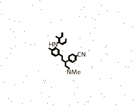 C=C/C(C)=C(\C=C/C)Nc1cc(CCC(CCNC)C2=CC=C(C#N)CC2)ccc1C